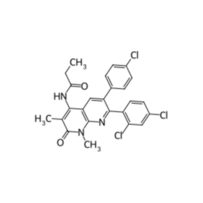 CCC(=O)Nc1c(C)c(=O)n(C)c2nc(-c3ccc(Cl)cc3Cl)c(-c3ccc(Cl)cc3)cc12